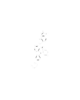 Cc1cc2c(F)c(COc3ncnc(Nc4ccc(N5CCN(C)CC5)cc4)c3C(=O)N3CCCCC3)ccc2[nH]1